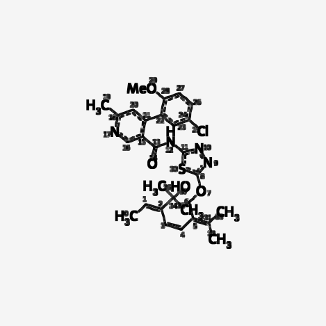 C/C=C(\C=C/C(COc1nnc(NC(=O)c2cnc(C)cc2-c2cc(Cl)ccc2OC)s1)=C(C)C)C(C)(C)O